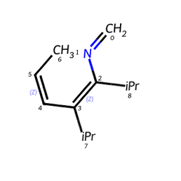 C=N/C(=C(\C=C/C)C(C)C)C(C)C